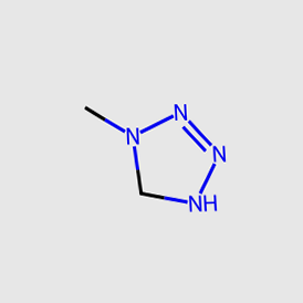 CN1CNN=N1